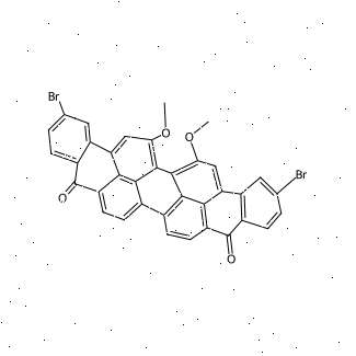 COc1cc2c3c(ccc4c5ccc6c7c(cc(OC)c(c1c34)c75)-c1cc(Br)ccc1C6=O)C(=O)c1ccc(Br)cc1-2